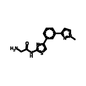 Cn1ccc(-c2cccc(-c3csc(NC(=O)CN)n3)c2)n1